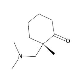 CN(C)C[C@]1(C)CCCCC1=O